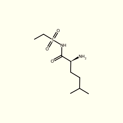 CCS(=O)(=O)NC(=O)[C@@H](N)CCC(C)C